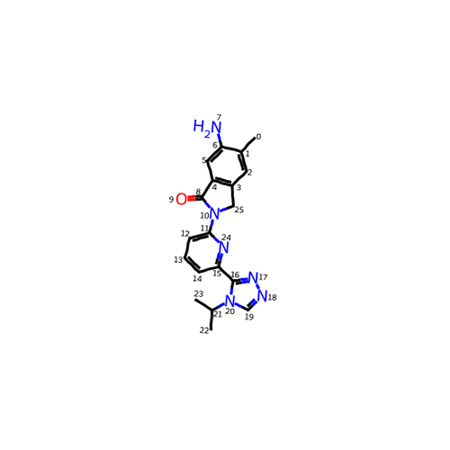 Cc1cc2c(cc1N)C(=O)N(c1cccc(-c3nncn3C(C)C)n1)C2